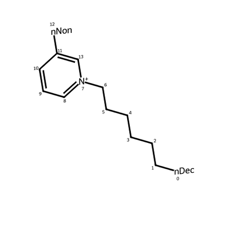 CCCCCCCCCCCCCCCC[n+]1cccc(CCCCCCCCC)c1